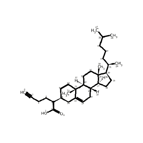 C#CCCC(C(=O)O)[C@H]1CC[C@@]2(C)C(=CC[C@H]3[C@@H]4CC[C@H]([C@H](C)CCCC(C)C)[C@@]4(C)CC[C@@H]32)C1